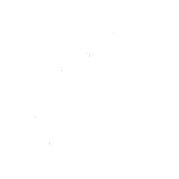 O=C(N=c1scc(C(=O)O)n1Cc1ccccc1)c1c[nH]c2ncccc12